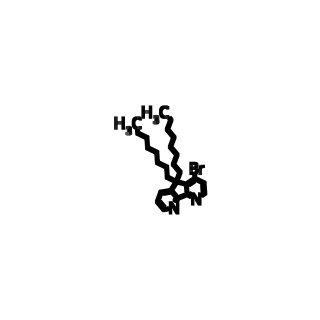 CCCCCCCCC1(CCCCCCCC)c2cccnc2-c2nccc(Br)c21